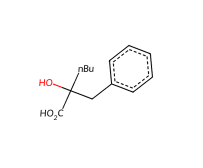 CCCCC(O)(Cc1ccccc1)C(=O)O